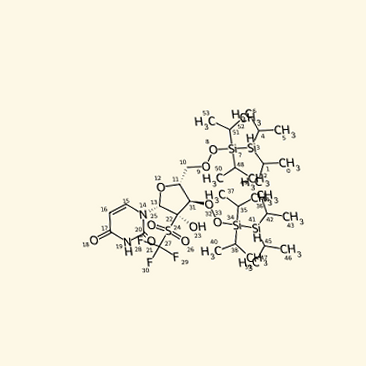 CC(C)[SiH](C(C)C)[Si](OOC[C@H]1O[C@@H](n2ccc(=O)[nH]c2=O)[C@](O)(S(=O)(=O)C(F)(F)F)[C@@H]1OO[Si](C(C)C)(C(C)C)[SiH](C(C)C)C(C)C)(C(C)C)C(C)C